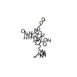 C=CCn1nnnc1SCC1=C(C(=O)O)N2C(=O)C(NC(=O)/C(=N\OCCOC=O)c3csc(NC=O)n3)[C@H]2SC1